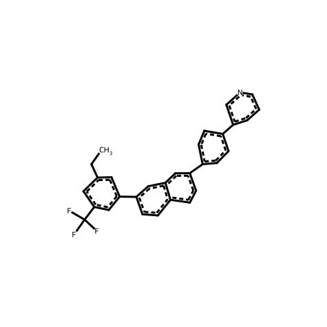 CCc1cc(-c2ccc3ccc(-c4ccc(-c5cccnc5)cc4)cc3c2)cc(C(F)(F)F)c1